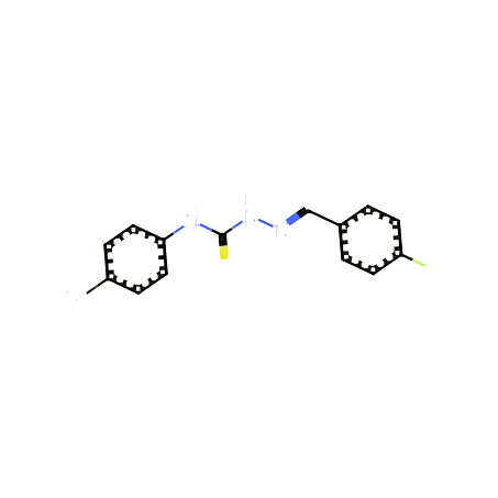 CC(=O)c1ccc(NC(=S)N/N=C/c2ccc(F)cc2)cc1